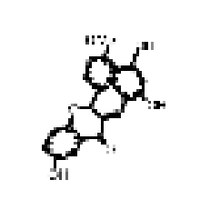 COc1ccc(C2Oc3ccc(O)cc3C(=O)/C2=C/c2ccc(O)cc2O)cc1